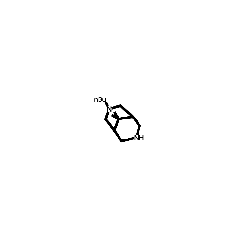 CCCCN1CC2CNCC(C1)C2(C)C